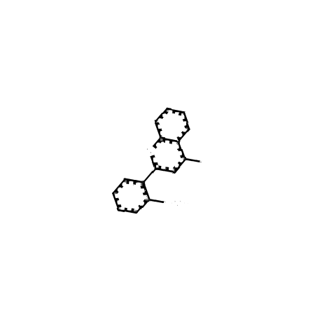 COc1ccccc1-c1cc(Cl)c2ccccc2n1